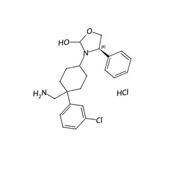 Cl.NCC1(c2cccc(Cl)c2)CCC(N2C(O)OC[C@H]2c2ccccc2)CC1